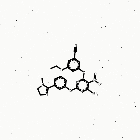 CCOc1cc(C#N)cc(Oc2nc(Oc3cccc(C4=NCCN4C)c3)nc(N)c2[N+](=O)[O-])c1